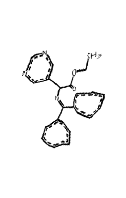 CCOC(=O)C(N=C(c1ccccc1)c1ccccc1)c1cncnc1